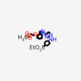 CCOC(=O)C1CCC(Nc2nccc(-n3ncc4c(OCCS(C)(=O)=O)cccc43)n2)CC1